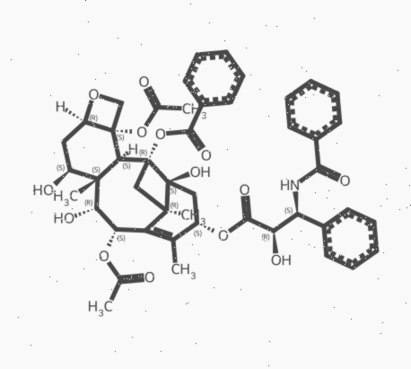 CC(=O)O[C@H]1C2=C(C)[C@@H](OC(=O)[C@H](O)[C@@H](NC(=O)c3ccccc3)c3ccccc3)C[C@]3(O)[C@]2(C)C[C@@]3(OC(=O)c2ccccc2)[C@@H]2[C@]3(OC(C)=O)CO[C@@H]3C[C@H](O)[C@@]2(C)[C@H]1O